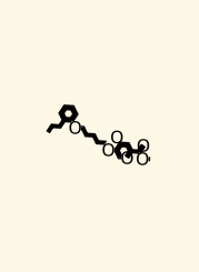 CCCc1ccccc1OCCCCCOc1coc(C(=O)OC)cc1=O